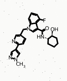 Cn1cc(-c2ccc(Cn3cc(C(=O)N[C@H]4CCCC[C@@H]4O)c4c(F)cccc43)cn2)cn1